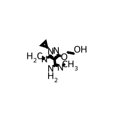 C=Nc1c(/C(N)=N\C)c(OCCO)nn1C1CC1